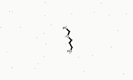 CC(C)COCCCO